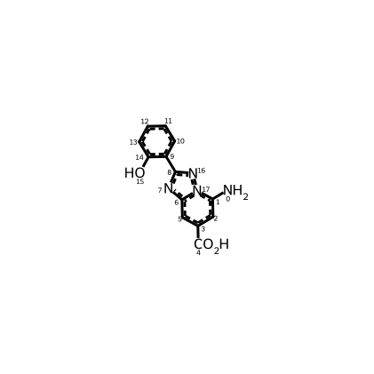 Nc1cc(C(=O)O)cc2nc(-c3ccccc3O)nn12